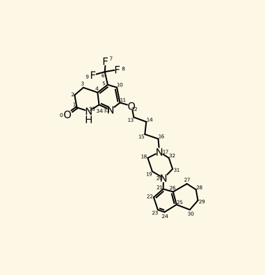 O=C1CCc2c(C(F)(F)F)cc(OCCCCN3CCN(c4cccc5c4CCCC5)CC3)nc2N1